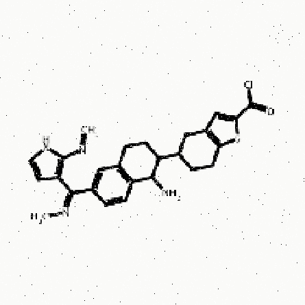 C=Nc1[nH]ccc1/C(=N\C)c1ccc2c(c1)CCC(C1CCc3sc(C(=O)Cl)cc3C1)C2N